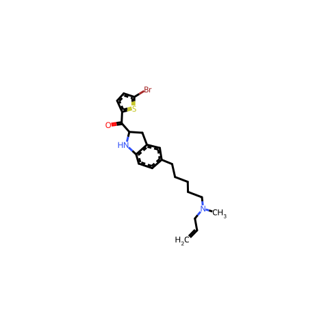 C=CCN(C)CCCCCc1ccc2c(c1)CC(C(=O)c1ccc(Br)s1)N2